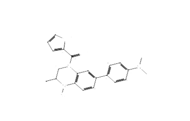 CC(=O)N1c2ccc(-c3ccc(N(C)C)cc3)cc2N(C(=O)c2ccco2)CC1C